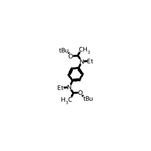 CCN(c1ccc(N(CC)C(C)OC(C)(C)C)cc1)C(C)OC(C)(C)C